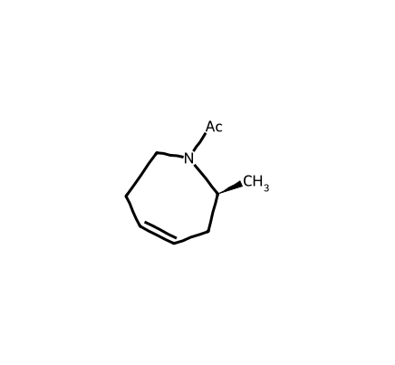 CC(=O)N1CCC=CC[C@@H]1C